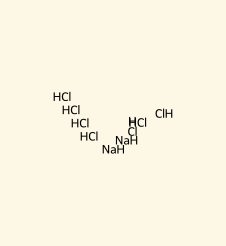 Cl.Cl.Cl.Cl.Cl.Cl.Cl.[NaH].[NaH]